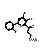 CCOC(=O)CCC(=O)c1nc(-c2ccccc2F)cc(Br)c1O